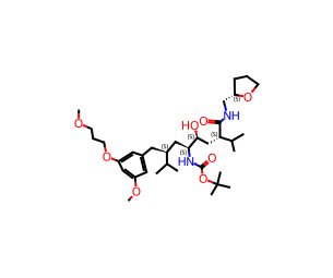 COCCCOc1cc(C[C@@H](C[C@H](NC(=O)OC(C)(C)C)[C@@H](O)C[C@H](C(=O)NC[C@@H]2CCCO2)C(C)C)C(C)C)cc(OC)c1